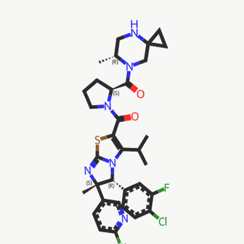 CC(C)C1=C(C(=O)N2CCC[C@H]2C(=O)N2CC3(CC3)NC[C@H]2C)SC2=N[C@@](C)(c3ccc(Cl)nc3)[C@@H](c3ccc(Cl)c(F)c3)N21